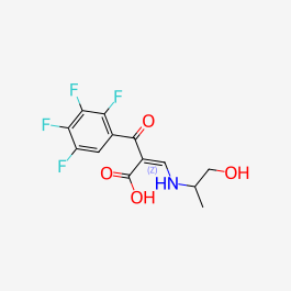 CC(CO)N/C=C(\C(=O)O)C(=O)c1cc(F)c(F)c(F)c1F